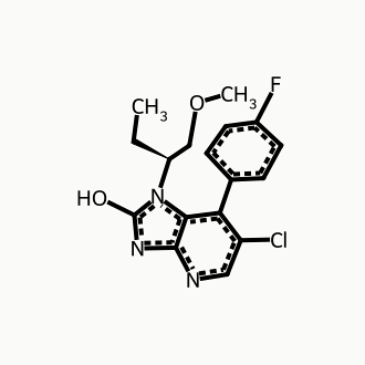 CC[C@@H](COC)n1c(O)nc2ncc(Cl)c(-c3ccc(F)cc3)c21